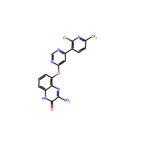 Nc1nc2c(Oc3cc(-c4ccc(C(F)(F)F)nc4Cl)ncn3)cccc2[nH]c1=O